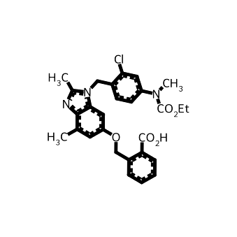 CCOC(=O)N(C)c1ccc(Cn2c(C)nc3c(C)cc(OCc4ccccc4C(=O)O)cc32)c(Cl)c1